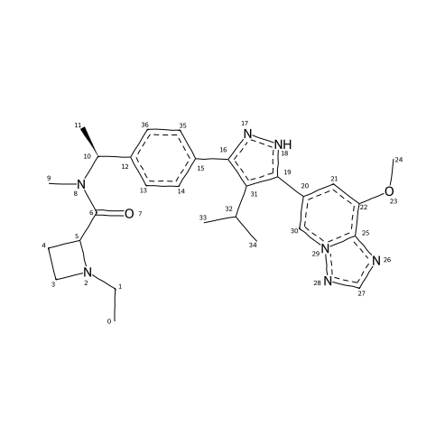 CCN1CCC1C(=O)N(C)[C@@H](C)c1ccc(-c2n[nH]c(-c3cc(OC)c4ncnn4c3)c2C(C)C)cc1